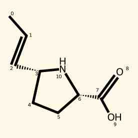 CC=C[C@H]1CC[C@@H](C(=O)O)N1